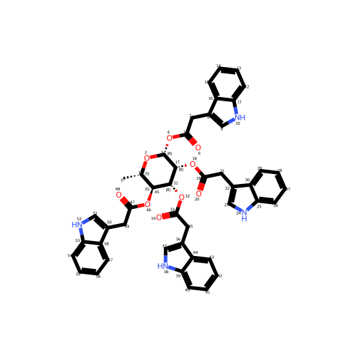 C[C@@H]1O[C@H](OC(=O)Cc2c[nH]c3ccccc23)[C@H](OC(=O)Cc2c[nH]c3ccccc23)[C@H](OC(=O)Cc2c[nH]c3ccccc23)[C@H]1OC(=O)Cc1c[nH]c2ccccc12